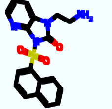 NCCn1c(=O)n(S(=O)(=O)c2cccc3ccccc23)c2ncccc21